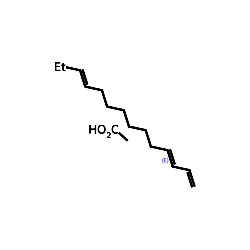 C=C/C=C/CCCCCCC=CCC.CC(=O)O